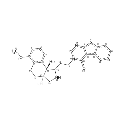 COc1cccc2c1CC[C@@H]1CNC(CCn3cnc4sc5ccccc5c4c3=O)[C@@H]21